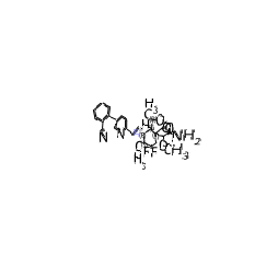 COC(C(N)=O)[C@@]12CC(F)(F)[C@@H](C)[C@H](/C=C/c3ccc(-c4ccccc4C#N)cn3)[C@@H]1[C@@H](C)OC2=O